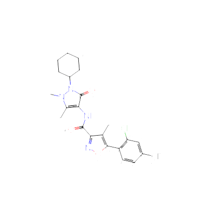 Cc1c(C(=O)Nc2c(C)n(C)n(C3CCCCC3)c2=O)noc1-c1ccc(C(F)(F)F)cc1Cl